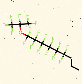 CCCC(F)(F)C(F)(F)C(F)(F)C(F)(F)C(F)(F)C(F)(F)OC(F)(C(F)(F)F)C(F)(F)F